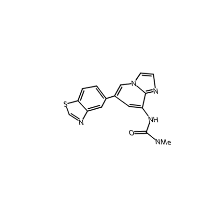 CNC(=O)Nc1cc(-c2ccc3scnc3c2)cn2ccnc12